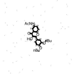 CCCCOc1ccc(-c2oc3ccc(NC(C)=O)cc3c(=O)c2O)cc1OCCCC